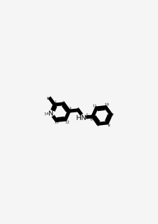 Cc1cc(CNc2ccccc2)ccn1